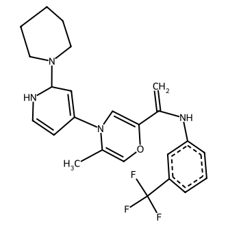 C=C(Nc1cccc(C(F)(F)F)c1)C1=CN(C2=CC(N3CCCCC3)NC=C2)C(C)=CO1